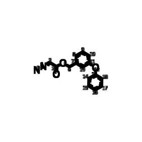 [N-]=[N+]=CC(=O)OCc1cccc(Oc2ccccc2)c1